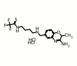 CC1Oc2ccc(CNCCCCNC(=S)C(F)(F)F)cc2N=C1N.Cl.Cl